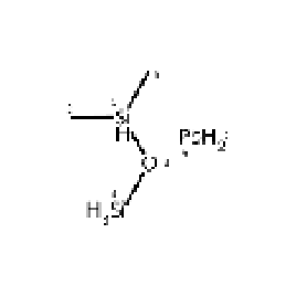 C[SiH](C)O[SiH3].[PbH2]